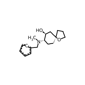 CN(Cc1ccccc1)[C@H]1CC[C@@]2(CCCO2)C[C@@H]1O